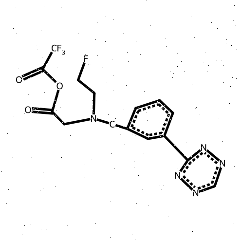 O=C(CN(CCF)Cc1cccc(-c2nncnn2)c1)OC(=O)C(F)(F)F